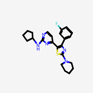 Fc1cccc(-c2nc(N3CCCCC3)sc2-c2ccnc(NC3CCCC3)n2)c1